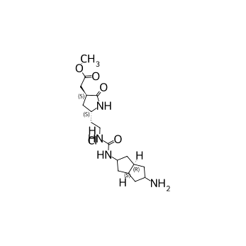 COC(=O)C[C@@H]1C[C@@H](CCNC(=O)NC2C[C@H]3CC(N)C[C@H]3C2)NC1=O.Cl